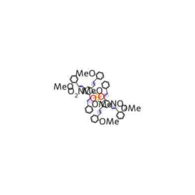 COc1ccccc1/C=C/C1=CC(/C=C/c2ccccc2OC)([N+](=O)[O-])C=C(/C=C/c2ccccc2OC)C1CS(=O)(=O)CC1C(/C=C/c2ccccc2OC)=CC(/C=C/c2ccccc2OC)([N+](=O)[O-])C=C1/C=C/c1ccccc1OC